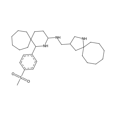 CS(=O)(=O)c1ccc(C2NC(NCC3CNC4(CCCCCCC4)C3)CCC23CCCCCC3)cc1